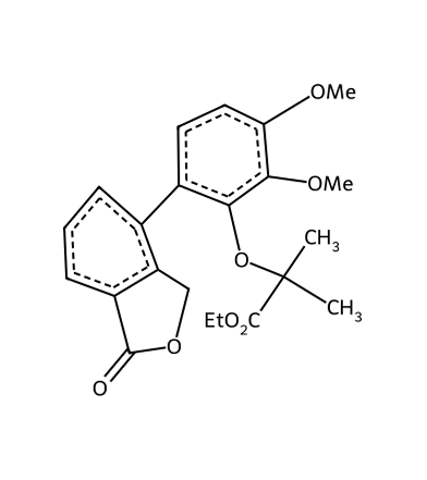 CCOC(=O)C(C)(C)Oc1c(-c2cccc3c2COC3=O)ccc(OC)c1OC